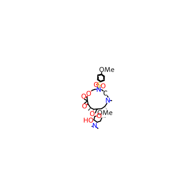 COc1ccc(S(=O)(=O)N2CCCN(C)C[C@H](C)C[C@@](C)(OC)[C@H](O[C@@H]3O[C@H](C)C[C@H](N(C)C)[C@H]3O)[C@@H](C)C(=O)C(C)(C)C(=O)OCC2)cc1